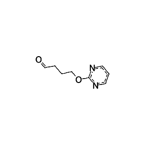 O=CCCCOc1ncccn1